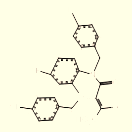 O=C(O)C(O)=CC(=O)N(Cc1ccc(F)cc1)c1ccc(F)cc1OCc1ccc(F)cc1